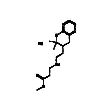 COC(=O)CCNCCC1Cc2ccccc2OC1(C)C.Cl